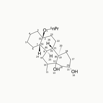 CCCO[C@]12CCCC[C@H]1[C@@H]1CC(C)C3(O)C[C@@H](O)CC[C@]3(C)[C@H]1CC2